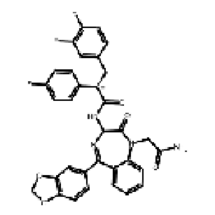 NC(=O)CN1C(=O)C(NC(=O)[C@H](Cc2ccc(F)c(F)c2)c2ccc(F)cc2)N=C(c2ccc3c(c2)OCO3)c2ccccc21